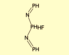 F.P=NPN=P